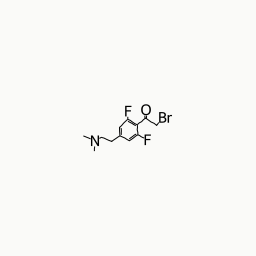 CN(C)CCc1cc(F)c(C(=O)CBr)c(F)c1